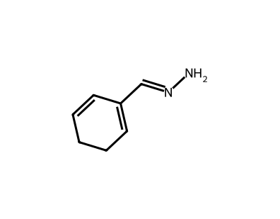 N/N=C/C1=CCCC=C1